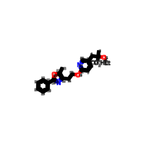 CCOC(C)(Cc1ccc(OCCc2nc(-c3ccccc3)oc2C)nc1)C(=O)O